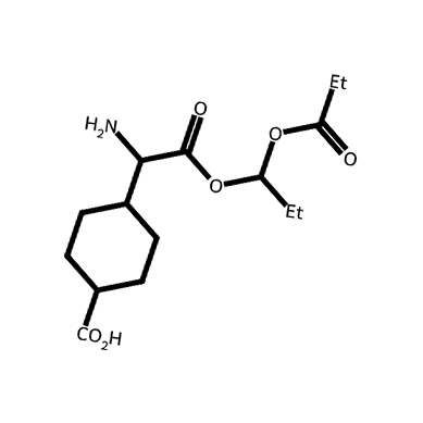 CCC(=O)OC(CC)OC(=O)C(N)C1CCC(C(=O)O)CC1